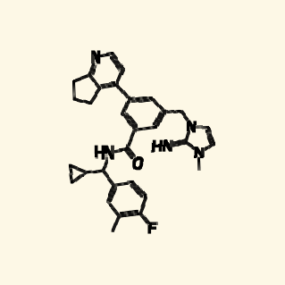 Cc1cc(C(NC(=O)c2cc(Cn3ccn(C)c3=N)cc(-c3ccnc4c3CCC4)c2)C2CC2)ccc1F